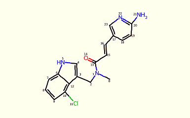 CN(Cc1c[nH]c2cccc(Cl)c12)C(=O)C=Cc1ccc(N)nc1